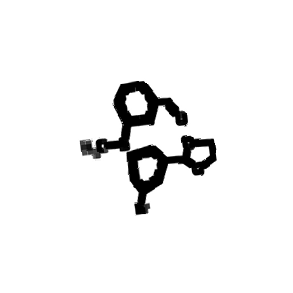 Brc1cccc(C2OCCO2)c1.CSc1cccc(C=O)c1